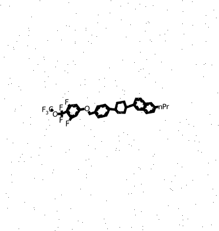 CCCc1ccc2cc(C3CCC(c4ccc(COc5cc(F)c(C(F)(F)OC(F)(F)F)c(F)c5)cc4)CC3)ccc2c1